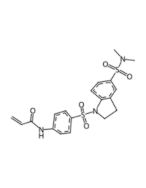 C=CC(=O)Nc1ccc(S(=O)(=O)N2CCc3cc(S(=O)(=O)N(C)C)ccc32)cc1